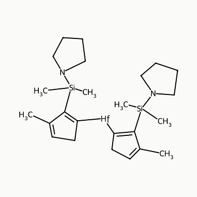 CC1=CC[C]([Hf][C]2=C([Si](C)(C)N3CCCC3)C(C)=CC2)=C1[Si](C)(C)N1CCCC1